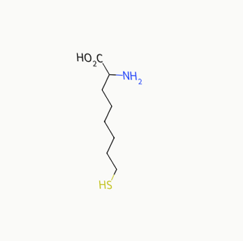 NC(CCCCCCS)C(=O)O